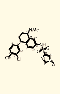 CNC1CC[C@@H](c2ccc(Cl)c(Cl)c2)c2ccc(NS(=O)(=O)c3cn(C)cn3)cc21